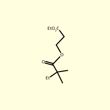 CCOC(=O)CCOC(=O)C(C)(C)CC